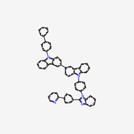 c1ccc(-c2ccc(-n3c4ccccc4c4cc(-c5ccc6c(c5)c5ccccc5n6-c5ccc(-n6c(-c7ccc(-c8ccccn8)cc7)nc7ccccc76)cc5)ccc43)cc2)cc1